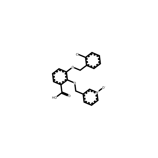 O=C(O)c1cccc(OCc2ccccc2Cl)c1OCc1ccc[n+]([O-])c1